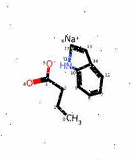 CCCC(=O)[O-].[Na+].c1ccc2[nH]ccc2c1